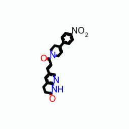 O=C1CCc2cc(C=CC(=O)N3CC=C(c4ccc([N+](=O)[O-])cc4)CC3)cnc2N1